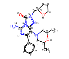 CC1CN(c2c(-c3ccccc3)nc(N)n3c(=O)n(C[C@H]4CCCO4)nc23)CC(C)O1